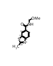 COCNC(=O)c1ccc2nc(C)sc2c1